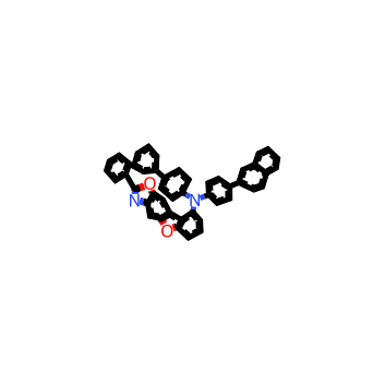 c1ccc(-c2ccc(N(c3ccc(-c4ccc5ccccc5c4)cc3)c3cccc4oc5cc6nc(-c7ccccc7)oc6cc5c34)cc2)cc1